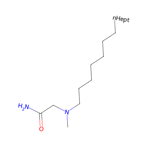 CCCCCCCCCCCCCCN(C)CC(N)=O